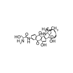 CC(C)C[C@@]12O[C@]13c1cc(O)c4c(c1N[C@H]2C#C/C=C\C#C[C@H]3O)C(=O)c1ccc(NC(=O)[C@@H](N)CO)cc1C4=O